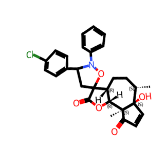 C[C@H]1CC[C@@H]2[C@@H](OC(=O)C23CC(c2ccc(Cl)cc2)N(c2ccccc2)O3)[C@]2(C)C(=O)C=C[C@@]12O